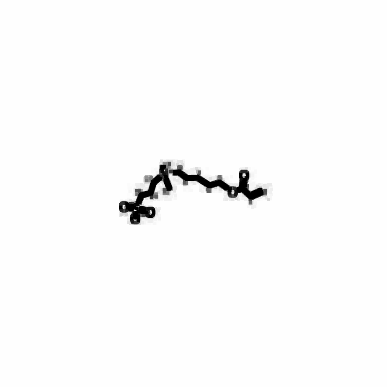 C=CC(=O)OCCCCC[N+](C)(C)CCCS(=O)(=O)[O-]